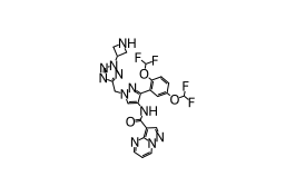 O=C(Nc1cn(Cc2nnn(C3CNC3)n2)nc1-c1cc(OC(F)F)ccc1OC(F)F)c1cnn2cccnc12